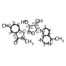 Cc1ncnc2c1ccn2[C@@H]1O[C@H](C2c3ccc(Cl)cc3C(=O)N2C)[C@@H](O)[C@H]1O